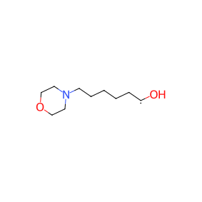 O[CH]CCCCCN1CCOCC1